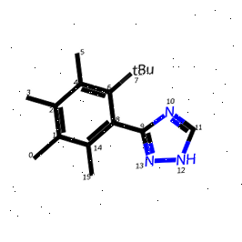 Cc1c(C)c(C)c(C(C)(C)C)c(-c2nc[nH]n2)c1C